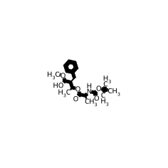 COC(O)[C@@H](Cc1ccccc1)[C@H](C)OC(=O)[C@H](C)NC(=O)OC(C)(C)C